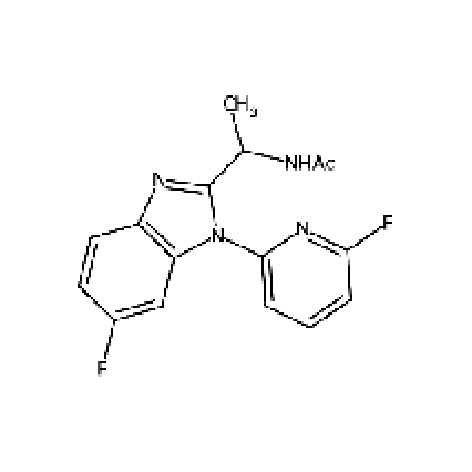 CC(=O)NC(C)c1nc2ccc(F)cc2n1-c1cccc(F)n1